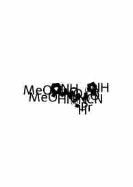 COc1ccc2[nH]c(C(=O)N[C@@H](CC(C)C)C(=O)N[C@H](C#N)C[C@@H]3CCNC3=O)cc2c1OC